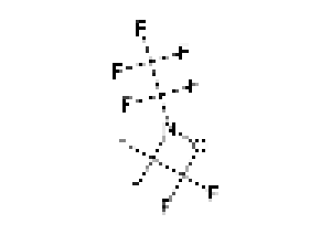 FC(F)(F)C(F)(F)N1OC(F)(F)C1(F)F